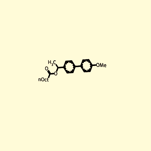 CCCCCCCCC(=O)OC(C)c1ccc(-c2ccc(OC)cc2)cc1